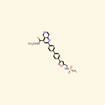 CN(O)C(=O)c1cc(-c2ccc(-c3ccc(-c4cc(CNS(C)(=O)=O)on4)cc3)cc2)nc2ccncc12